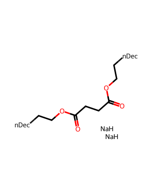 CCCCCCCCCCCCOC(=O)CCC(=O)OCCCCCCCCCCCC.[NaH].[NaH]